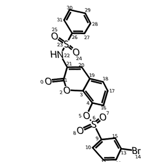 O=c1oc2c(OS(=O)(=O)c3cccc(Br)c3)cccc2cc1NS(=O)(=O)c1ccccc1